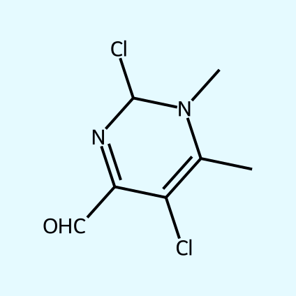 CC1=C(Cl)C(C=O)=NC(Cl)N1C